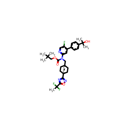 CC(C)(C)COC(=O)N(CC12CCC(c3noc(C(C)(F)F)n3)(CC1)CC2)c1cc(-c2ccc(C(C)(C)O)cc2)c(F)cn1